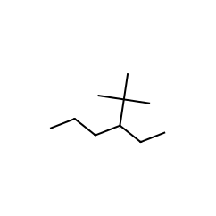 CCC[C](CC)C(C)(C)C